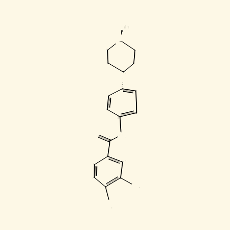 CCC[Si@H]1CC[C@H](c2ccc(OC(=O)c3ccc(F)c(F)c3)cc2)CC1